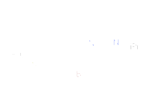 CC(C)[n+]1ccn(-c2ccc(SC(F)(F)F)cc2)c1.[Br-]